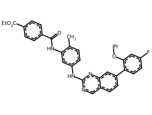 CCOC(=O)c1ccc(C(=O)Nc2cc(Nc3ncc4ccc(-c5ccc(F)cc5OC(C)C)cc4n3)ccc2C)cc1